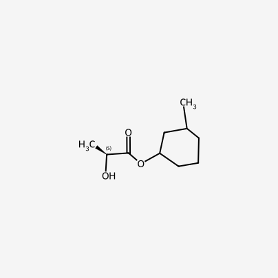 CC1CCCC(OC(=O)[C@H](C)O)C1